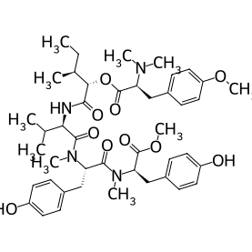 CC[C@H](C)[C@H](OC(=O)[C@H](Cc1ccc(OC)cc1)N(C)C)C(=O)N[C@@H](C(=O)N(C)[C@@H](Cc1ccc(O)cc1)C(=O)N(C)[C@H](Cc1ccc(O)cc1)C(=O)OC)C(C)C